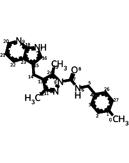 Cc1ccc(CNC(=O)n2nc(C)c(Cc3c[nH]c4ncccc34)c2C)cc1